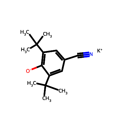 CC(C)(C)c1cc(C#N)cc(C(C)(C)C)c1[O-].[K+]